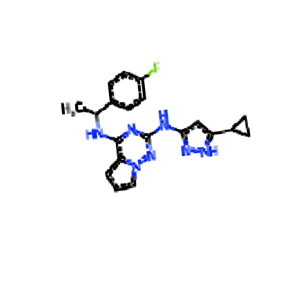 C[C@H](Nc1nc(Nc2cc(C3CC3)[nH]n2)nn2cccc12)c1ccc(F)cc1